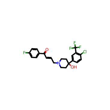 O=C(/C=C/CN1CCC(O)(c2ccc(Cl)c(C(F)(F)F)c2)CC1)c1ccc(F)cc1